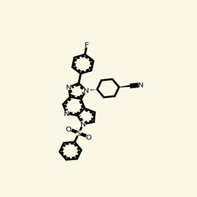 N#C[C@H]1CC[C@H](n2c(-c3ccc(F)cc3)nc3cnc4c(ccn4S(=O)(=O)c4ccccc4)c32)CC1